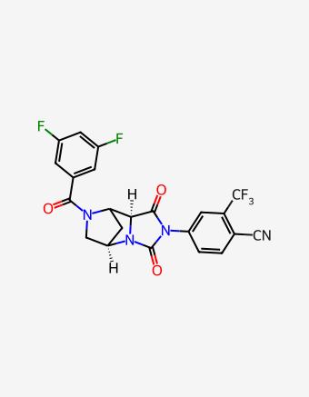 N#Cc1ccc(N2C(=O)[C@@H]3C4C[C@H](CN4C(=O)c4cc(F)cc(F)c4)N3C2=O)cc1C(F)(F)F